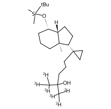 [2H]C([2H])([2H])C(O)(CCCC1([C@H]2CC[C@H]3[C@@H](O[Si](C)(C)C(C)(C)C)CCC[C@]23C)CC1)C([2H])([2H])[2H]